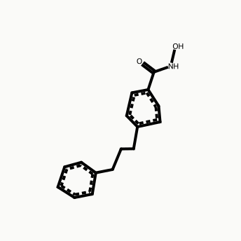 O=C(NO)c1ccc(CCCc2ccccc2)cc1